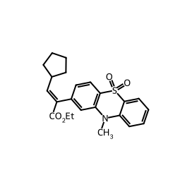 CCOC(=O)/C(=C/C1CCCC1)c1ccc2c(c1)N(C)c1ccccc1S2(=O)=O